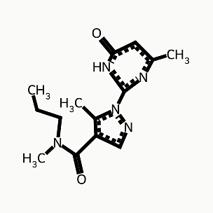 CCCN(C)C(=O)c1cnn(-c2nc(C)cc(=O)[nH]2)c1C